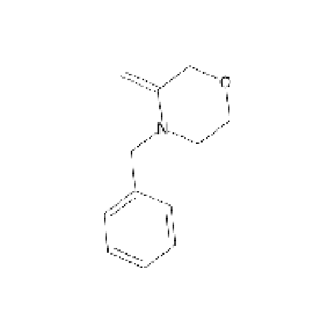 C=C1COCCN1Cc1ccccc1